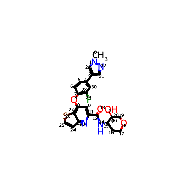 Cn1cc(-c2ccc(Oc3cc(C(=O)N[C@H]4CCOC[C@@H]4O)nc4ccsc34)c(F)c2)cn1